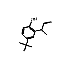 CCC(C)c1cc(C(C)(C)C)ccc1O